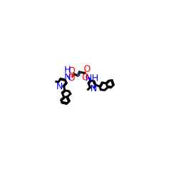 Cc1cc(NOC(=O)/C=C/C(=O)ONc2cc(C)nc(C3=Cc4ccccc4CC3)c2)cc(C2=Cc3ccccc3CC2)n1